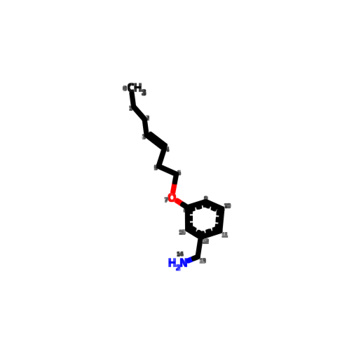 CCCC=CCCOc1cccc(CN)c1